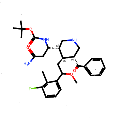 COC(C[C@@H]1[C@@H](C(=O)c2ccccc2)CNC[C@H]1C(CC(N)=O)NC(=O)OC(C)(C)C)c1cccc(F)c1C